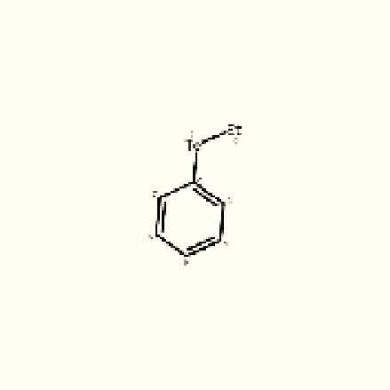 CC[Te]c1ccccc1